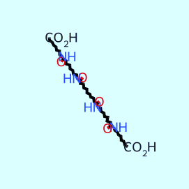 O=C(O)CCCCCCCNC(=O)CCCCCCCNC(=O)CCCCCCCCCC(=O)NCCCCCCCC(=O)NCCCCCCCC(=O)O